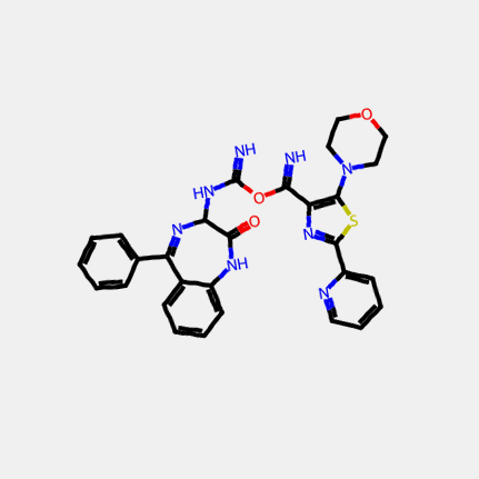 N=C(NC1N=C(c2ccccc2)c2ccccc2NC1=O)OC(=N)c1nc(-c2ccccn2)sc1N1CCOCC1